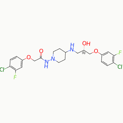 O=C(COc1ccc(Cl)c(F)c1)NN1CCC(NC[C@H](O)COc2ccc(Cl)c(F)c2)CC1